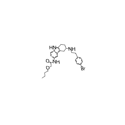 CCCCOCC(=O)Nc1ccc2[nH]c3c(c2c1)CC(NCCc1ccc(Br)cc1)CC3